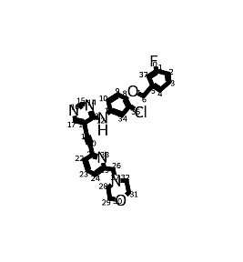 Fc1cccc(COc2ccc(Nc3ncncc3C#Cc3cccc(CN4CCOCC4)n3)cc2Cl)c1